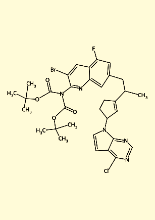 CC(Cc1cc(F)c2cc(Br)c(N(C(=O)OC(C)(C)C)C(=O)OC(C)(C)C)nc2c1)C1=CC(n2ccc3c(Cl)ncnc32)CC1